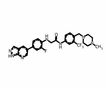 CN1CCN(Cc2ccc(NC(=O)CNc3ccc(-c4cnc5[nH]ncc5c4)cc3F)cc2C(F)(F)F)CC1